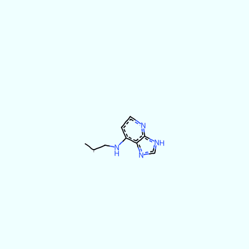 C[CH]CNc1ccnc2[nH]cnc12